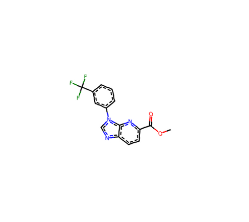 COC(=O)c1ccc2ncn(-c3cccc(C(F)(F)F)c3)c2n1